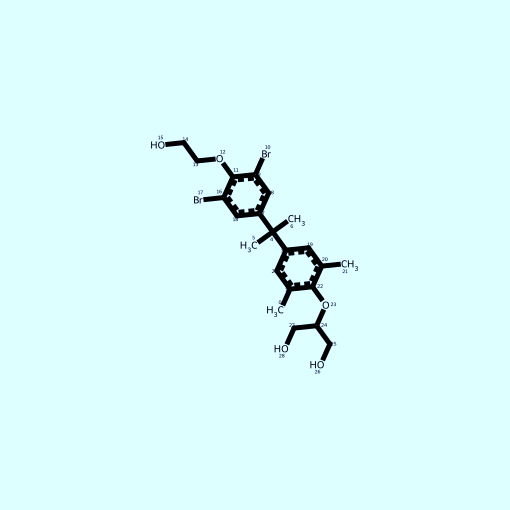 Cc1cc(C(C)(C)c2cc(Br)c(OCCO)c(Br)c2)cc(C)c1OC(CO)CO